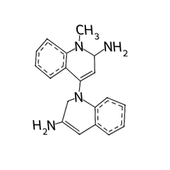 CN1c2ccccc2C(N2CC(N)=Cc3ccccc32)=CC1N